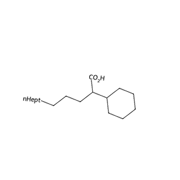 CCCCCCCCCCC(C(=O)O)C1CCCCC1